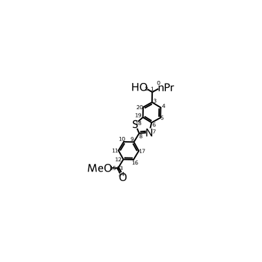 CCCC(O)c1ccc2nc(-c3ccc(C(=O)OC)cc3)sc2c1